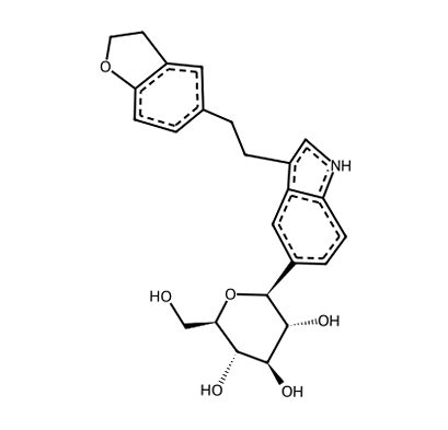 OC[C@H]1O[C@@H](c2ccc3[nH]cc(CCc4ccc5c(c4)CCO5)c3c2)[C@H](O)[C@@H](O)[C@@H]1O